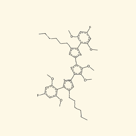 CCCCCCc1cc(-c2sc(-c3cc(CCCCCC)c(-c4c(OC)cc(F)cc4OC)s3)c(OC)c2OC)sc1-c1c(OC)cc(F)cc1OC